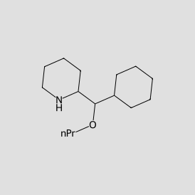 CCCOC(C1CCCCC1)C1CCCCN1